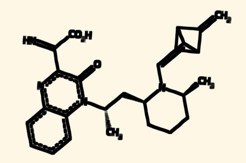 C=C1C2CC1C2=CN1[C@H](C[C@H](C)n2c(=O)c(C(=N)C(=O)O)nc3ccccc32)CCC[C@@H]1C